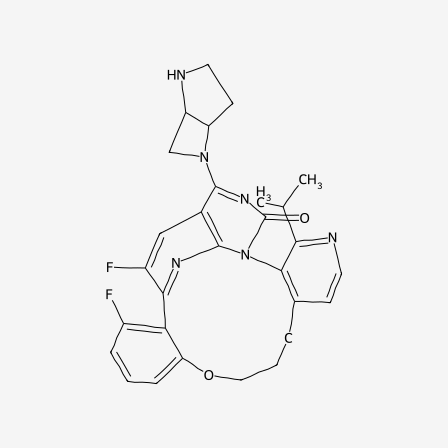 CC(C)c1nccc2c1-n1c(=O)nc(N3CC4NCCC43)c3cc(F)c(nc31)-c1c(F)cccc1OCCC2